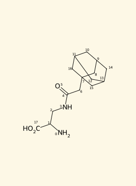 NC(CNC(=O)CC12CC3CC(CC(C3)C1)C2)C(=O)O